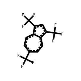 FC(F)(F)c1ccc2c(C(F)(F)F)cc(C(F)(F)F)c-2cc1